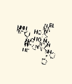 CCc1nnn([C@H]2C[C@@H](n3cnc4c(NCC(c5ccccc5)c5ccccc5)nc(N5CC[C@@H](NC(=O)Nc6cccc(-c7nnn[nH]7)c6)C5)nc43)[C@H](O)[C@@H]2O)n1.Cl